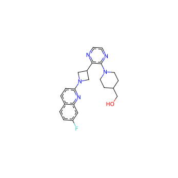 OCC1CCN(c2nccnc2C2CN(c3ccc4ccc(F)cc4n3)C2)CC1